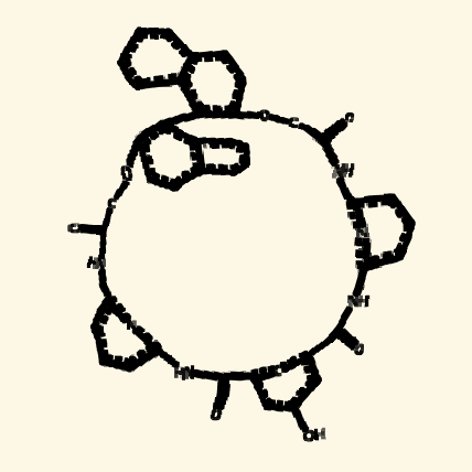 O=C1COc2ccc3ccccc3c2-c2c(ccc3ccccc23)OCC(=O)Nc2cccc(n2)NC(=O)c2cc(O)cc(c2)C(=O)Nc2cccc(n2)N1